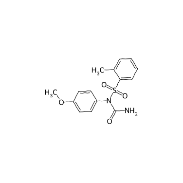 COc1ccc(N(C(N)=O)S(=O)(=O)c2ccccc2C)cc1